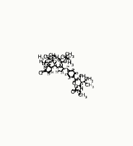 CC(C)C(c1nn(C)c(=O)o1)N(C)C(=O)c1ccc(C[C@@H]2CC[C@H]([C@H](O[Si](C)(C)C(C)(C)C)c3ccc(Cl)nc3)N2C(=O)OC(C)(C)C)cc1